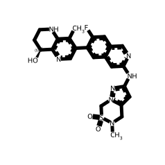 Cc1c(-c2cc3cc(Nc4cc5n(n4)CS(=O)(=O)N(C)C5)ncc3cc2F)cnc2c1NCC[C@@H]2O